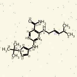 CC(C)/C=C/CNc1nc(Nc2cnn(C(C)(C)C)c2)ncc1C(N)=O